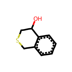 OC1CSCc2ccccc21